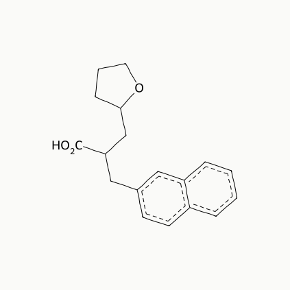 O=C(O)C(Cc1ccc2ccccc2c1)CC1CCCO1